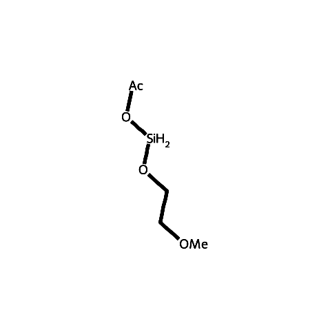 COCCO[SiH2]OC(C)=O